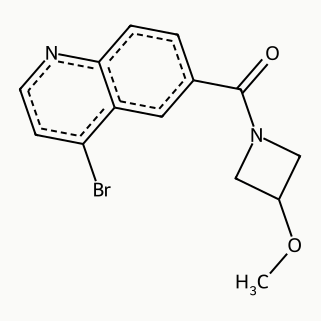 COC1CN(C(=O)c2ccc3nccc(Br)c3c2)C1